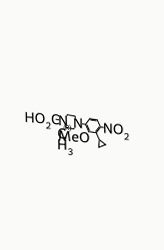 COc1c(N2CCN(C(=O)O)[C@H](C)C2)ccc([N+](=O)[O-])c1C1CC1